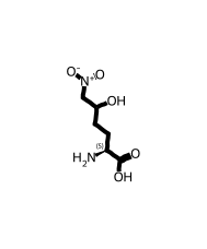 N[C@@H](CCC(O)C[N+](=O)[O-])C(=O)O